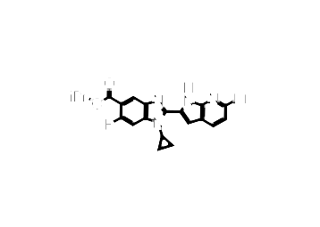 CCc1ccc2cc(-c3nc4cc(C(=O)OC(C)C)c(F)cc4n3C3CC3)[nH]c2n1